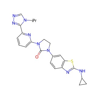 CC(C)n1cnnc1-c1cccc(N2CCN(c3ccc4nc(NC5CC5)sc4c3)C2=O)n1